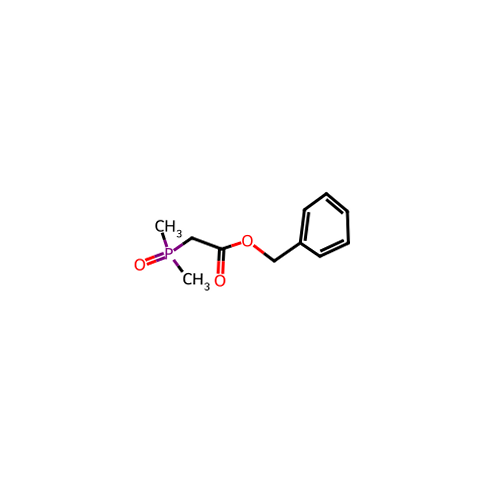 CP(C)(=O)CC(=O)OCc1ccccc1